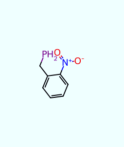 O=[N+]([O-])c1ccccc1CP